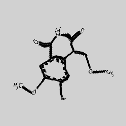 CO/C=C1/C(=O)NC(=O)c2cc(OC)c(Br)cc21